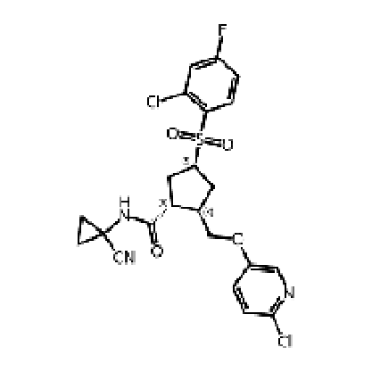 N#CC1(NC(=O)[C@@H]2C[C@@H](S(=O)(=O)c3ccc(F)cc3Cl)C[C@H]2COc2ccc(Cl)nc2)CC1